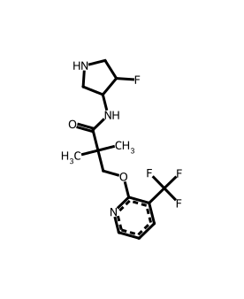 CC(C)(COc1ncccc1C(F)(F)F)C(=O)NC1CNCC1F